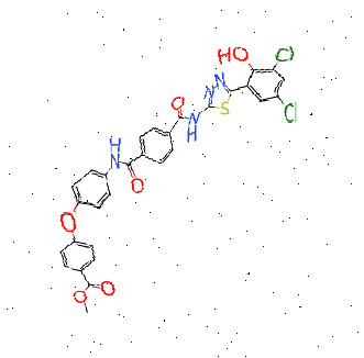 COC(=O)c1ccc(Oc2ccc(NC(=O)c3ccc(C(=O)Nc4nnc(-c5cc(Cl)cc(Cl)c5O)s4)cc3)cc2)cc1